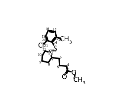 COC(=O)CCCC1CCCCN1Sc1c(C)cccc1Cl